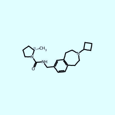 C[C@H]1CCCN1C(=O)NCc1ccc2c(c1)CCN(C1CCC1)CC2